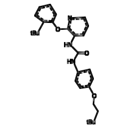 CC(C)(C)CCOc1ccc(NC(=O)Nc2cccnc2Oc2ccccc2C(C)(C)C)cc1